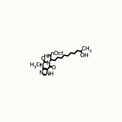 CCCCCCCCNC(CCCCCCCCC(C)O)n1c(=O)c2[nH]cnc2n(C)c1=O